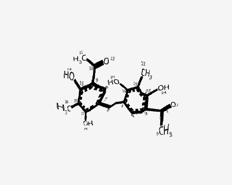 CC(=O)c1cc(Cc2cc(C(C)=O)c(O)c(C)c2O)c(O)c(C)c1O